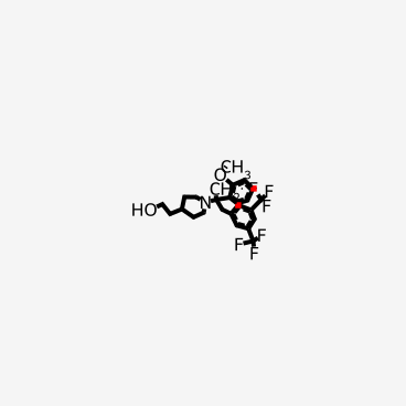 [CH2]C(Cc1cc(C(F)(F)F)cc(C(F)(F)F)c1)(c1ccccc1OC)N1CCC(CCO)CC1